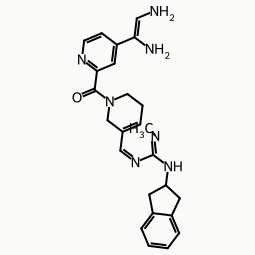 C/N=C(\N=C/C1=CCCN(C(=O)c2cc(/C(N)=C/N)ccn2)C1)NC1Cc2ccccc2C1